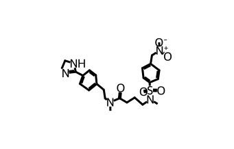 CN(CCc1ccc(C2=NCCN2)cc1)C(=O)CCCN(C)S(=O)(=O)c1ccc(C[N+](=O)[O-])cc1